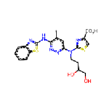 Cc1cc(N(CCC(O)CO)c2nc(C(=O)O)cs2)nnc1Nc1nc2ccccc2s1